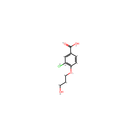 O=C(O)c1ccc(OCCCO)c(Cl)c1